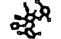 N#Cc1c(F)c(Oc2cc(Cl)ccc2Cl)c(Oc2cc(Cl)ccc2Cl)c(Oc2ccccc2)c1C#N